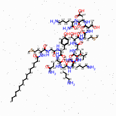 CCCCCCCCCCCCCCCC(=O)N[C@@H](CCSC)C(=O)NCC(=O)N[C@@H](Cc1ccc(O)cc1)C(=O)N[C@@H](CCC(N)=O)C(=O)N[C@@H](CCCCN)C(=O)N[C@@H](CCCCN)C(=O)N[C@@H](CC(C)C)C(=O)N[C@@H](CCCNC(C)=N)C(=O)N[C@@H](CO)C(=O)N[C@@H](CCSC)C(=O)N[C@H](C(=O)N[C@@H](CC(=O)O)C(=O)N[C@@H](CCCCN)C(N)=O)[C@@H](C)O